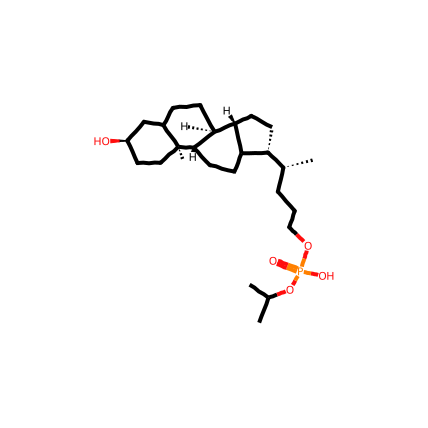 CC(C)OP(=O)(O)OCCC[C@@H](C)[C@H]1CC[C@@H]2C1CC[C@H]1[C@H]2CCC2C[C@H](O)CC[C@@]21C